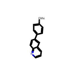 COc1ccc(-c2ccc3ncccc3c2)cc1